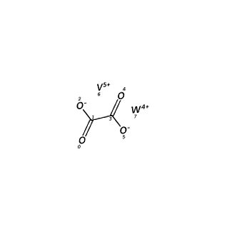 O=C([O-])C(=O)[O-].[V+5].[W+4]